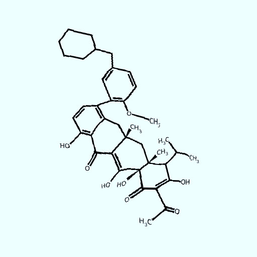 COc1ccc(CC2CCCCC2)cc1-c1ccc(O)c2c1C[C@]1(C)C[C@]3(C)C(C(C)C)C(O)=C(C(C)=O)C(=O)[C@]3(O)C(O)=C1C2=O